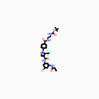 C=CC(=O)Nc1cc(Cl)cc(NC(=O)c2cnn(-c3ccc(C(=O)NCCNC(=O)OC(C)(C)C)cc3)c2C(F)(F)F)c1